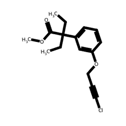 CCC(CC)(C(=O)OC)c1cccc(OCC#CCl)c1